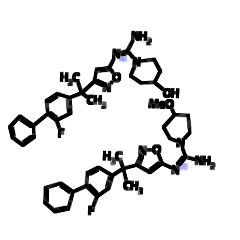 CC(C)(c1ccc(-c2ccccc2)c(F)c1)c1cc(/N=C(/N)N2CCC(O)CC2)on1.COC1CCN(/C(N)=N\c2cc(C(C)(C)c3ccc(-c4ccccc4)c(F)c3)no2)CC1